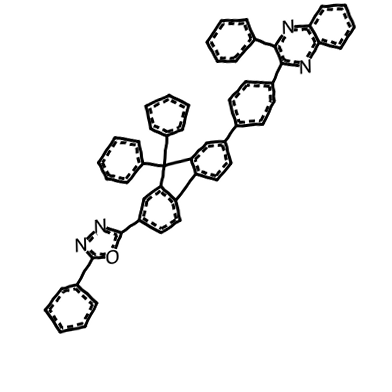 c1ccc(-c2nnc(-c3ccc4c(c3)C(c3ccccc3)(c3ccccc3)c3cc(-c5ccc(-c6nc7ccccc7nc6-c6ccccc6)cc5)ccc3-4)o2)cc1